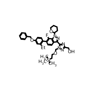 CCc1cc(OCc2ccccc2)ccc1-c1ccc2c(-c3nc(CO)nn3COCC[Si](C)(C)C)nn(C3CCCCO3)c2c1F